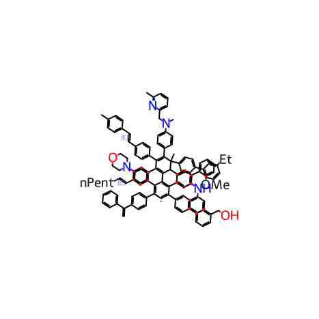 C=C(c1ccccc1)c1ccc(-c2[c]c(-c3ccc(-c4cccc(CO)c4)cc3)c(-c3ccc(-c4ccccc4OC)cc3)c(C3=C(c4ccc(/C=C/CCCCC)cc4)C(c4ccc(/C=C/c5ccc(C)cc5)cc4)=C(c4ccc(N(C)Cc5cccc(C)n5)cc4)C(C)(c4ccc(-c5cccc(CC)c5)cc4)C3c3ccc(Nc4ccccc4)cc3)c2-c2ccc(N3CCOCC3)cc2)cc1